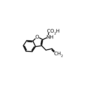 C=CCc1c(NC(=O)O)oc2ccccc12